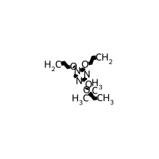 C=CCOC1=NC(OOC(C)(C)CC)N=CN1OCC=C